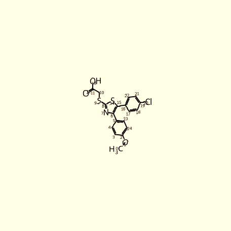 COc1ccc(-c2nc(SCC(=O)O)sc2-c2ccc(Cl)cc2)cc1